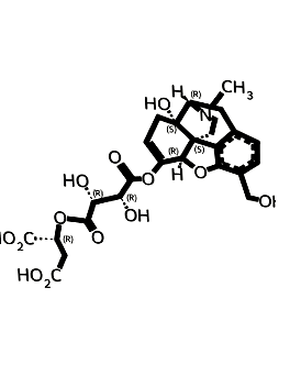 CN1CC[C@]23c4c5ccc(CO)c4O[C@H]2C(OC(=O)[C@H](O)[C@@H](O)C(=O)O[C@H](CC(=O)O)C(=O)O)=CC[C@@]3(O)[C@H]1C5